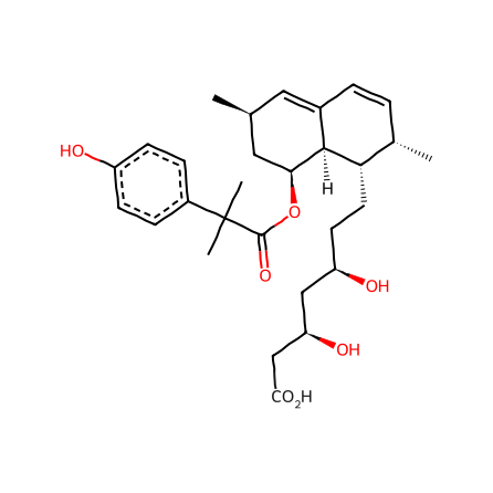 C[C@H]1C=C2C=C[C@H](C)[C@H](CC[C@@H](O)C[C@@H](O)CC(=O)O)[C@H]2[C@@H](OC(=O)C(C)(C)c2ccc(O)cc2)C1